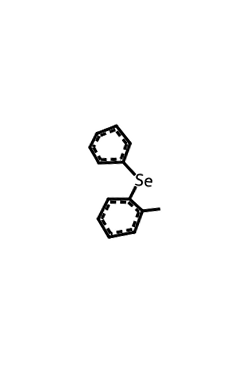 Cc1ccccc1[Se]c1ccccc1